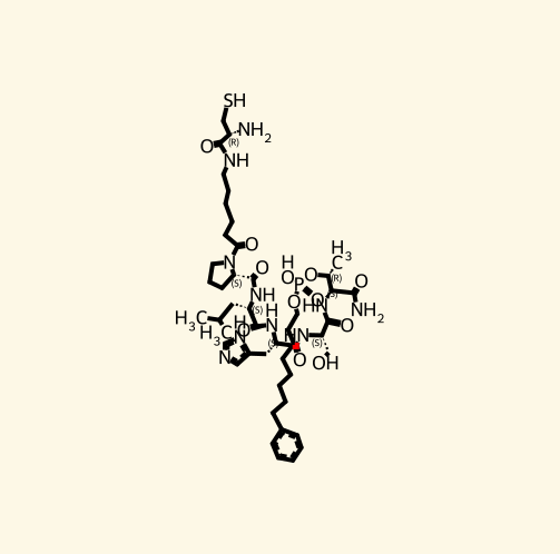 CC(C)C[C@H](NC(=O)[C@@H]1CCCN1C(=O)CCCCCNC(=O)[C@@H](N)CS)C(=O)N[C@@H](Cc1cnc[nH]1)C(=O)N[C@@H](CO)C(=O)N[C@H](C(N)=O)[C@@H](C)OP(=O)(O)OCCCCCCCCc1ccccc1